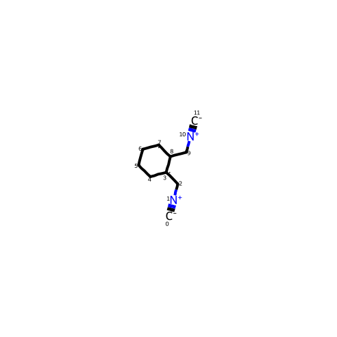 [C-]#[N+]C[C]1CCC[CH]C1C[N+]#[C-]